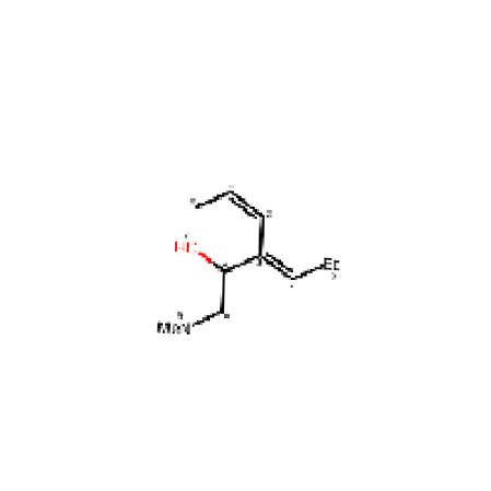 C/C=C\C(=C/CC)C(O)CNC